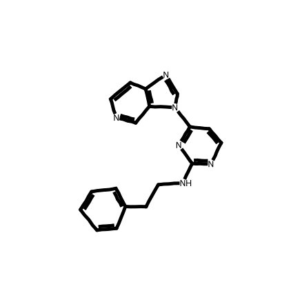 c1ccc(CCNc2nccc(-n3cnc4ccncc43)n2)cc1